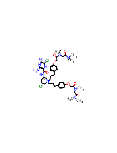 CN(C)C(=O)CN(C)C(=O)COc1ccc(CCC[N+]2(CCCc3ccc(OCC(=O)N(C)CC(=O)N(C)C)cc3)CCC[C@H](NC(=O)c3nc(Cl)c(N)nc3N)C2)cc1.[Cl-]